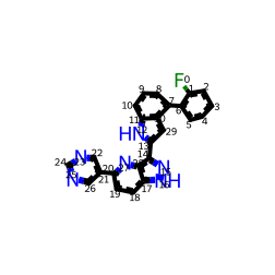 Fc1ccccc1-c1cccc2[nH]c(-c3n[nH]c4ccc(-c5cncnc5)nc34)cc12